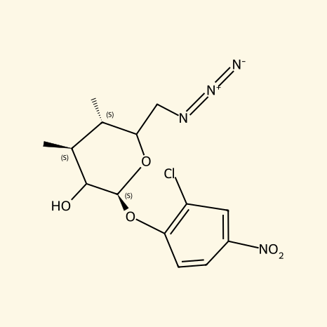 C[C@@H]1C(CN=[N+]=[N-])O[C@@H](Oc2ccc([N+](=O)[O-])cc2Cl)C(O)[C@H]1C